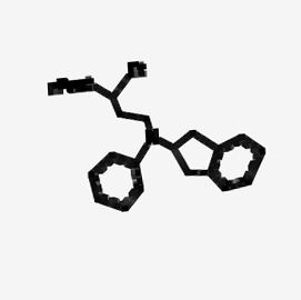 CCCCCC(CC)CCN(c1ccccc1)C1Cc2ccccc2C1